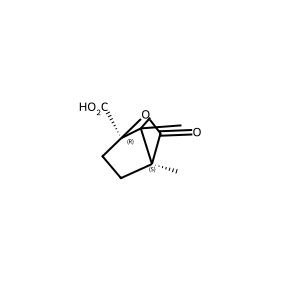 CC1(C)[C@@]2(C(=O)O)CC[C@]1(C)C(=O)O2